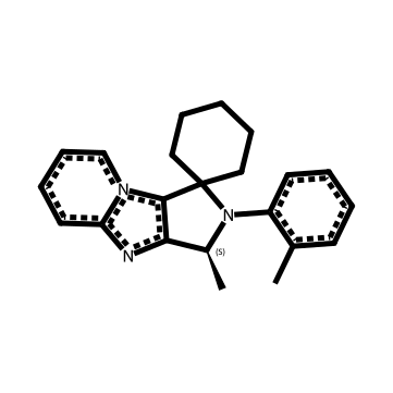 Cc1ccccc1N1[C@@H](C)c2nc3ccccn3c2C12CCCCC2